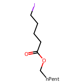 CCCCCCOC(=O)CCCCI